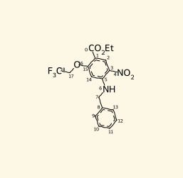 CCOC(=O)c1cc([N+](=O)[O-])c(NCc2ccccc2)cc1OCC(F)(F)F